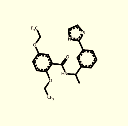 CC(NC(=O)c1cc(OCC(F)(F)F)ccc1OCC(F)(F)F)c1cccc(-c2nccs2)c1